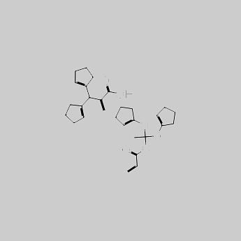 C=C(C(=O)O)C(C1=CCCC1)C1=CCCC1.C=CC(=O)OC(C)(OC1=CCCC1)OC1=CCCC1